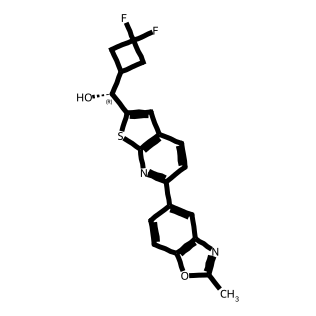 Cc1nc2cc(-c3ccc4cc([C@H](O)C5CC(F)(F)C5)sc4n3)ccc2o1